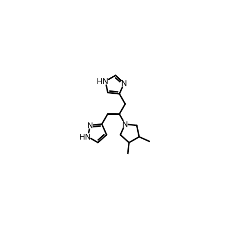 CC1CN(C(Cc2c[nH]cn2)Cc2cc[nH]n2)CC1C